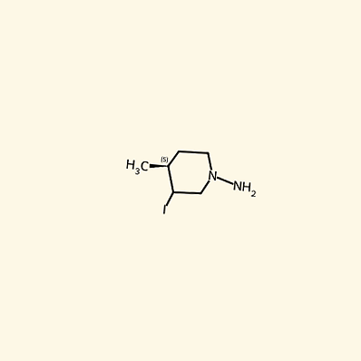 C[C@H]1CCN(N)CC1I